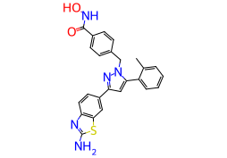 Cc1ccccc1-c1cc(-c2ccc3nc(N)sc3c2)nn1Cc1ccc(C(=O)NO)cc1